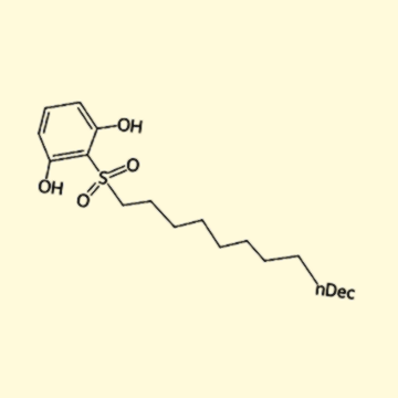 CCCCCCCCCCCCCCCCCCS(=O)(=O)c1c(O)cccc1O